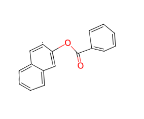 O=C(Oc1[c]cc2ccccc2c1)c1ccccc1